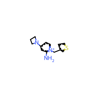 Nc1cc(N2CCC2)cc[n+]1Cc1ccsc1